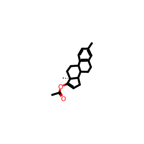 CC(=O)OC1=CCC2C3CCc4cc(C)ccc4C3CC[C@]12C